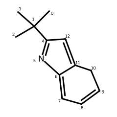 CC(C)(C)C1=NC2=CC=CCC2=C1